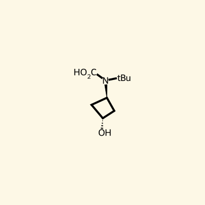 CC(C)(C)N(C(=O)O)[C@H]1C[C@H](O)C1